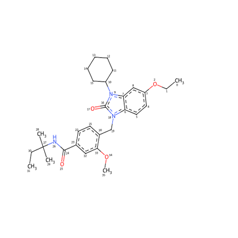 CCOc1ccc2c(c1)n(C1CCCCC1)c(=O)n2Cc1ccc(C(=O)NC(C)(C)CC)cc1OC